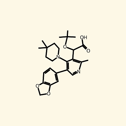 Cc1ncc(-c2ccc3c(c2)OCO3)c(N2CCC(C)(C)CC2)c1C(OC(C)(C)C)C(=O)O